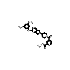 COC(=O)c1cc(C(=O)N2CCC(N3Cc4cnc(Nc5cc(C)cc(C)c5)nc4C3)CC2)ccn1